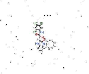 O=C(CC1Nc2ccccc2N(C2CCCCCCCC2)C1=O)C(=O)Nc1cc(Cl)c(Cl)cc1Cl